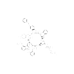 COc1cccc2[nH]cc(C[C@H]3NC(=O)[C@H](CCc4ccccc4)NC(=O)[C@@H]4C[C@@H](OC(=O)NCCN)CN4C(=O)[C@@H]4Cc5ccccc5CN4C(=O)[C@H](Cc4ccc(OCc5ccccc5)cc4)NC(=O)C(CC4CCNCC4)NC3=O)c12